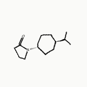 CC(C)[C@H]1CC[C@H](N2CCCC2=O)CC1